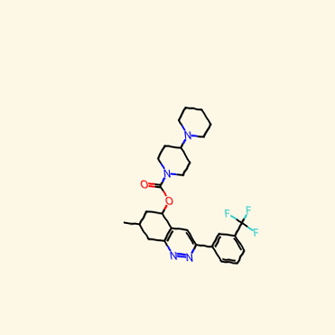 CC1Cc2nnc(-c3cccc(C(F)(F)F)c3)cc2C(OC(=O)N2CCC(N3CCCCC3)CC2)C1